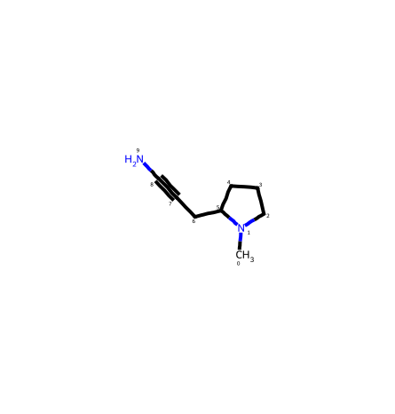 CN1CCCC1CC#CN